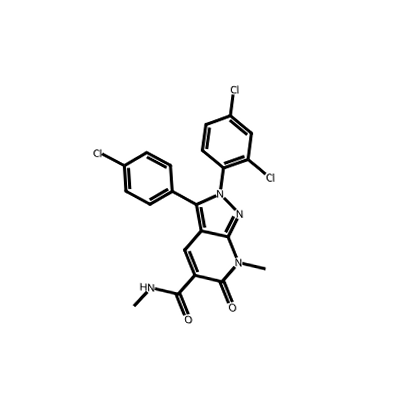 CNC(=O)c1cc2c(-c3ccc(Cl)cc3)n(-c3ccc(Cl)cc3Cl)nc2n(C)c1=O